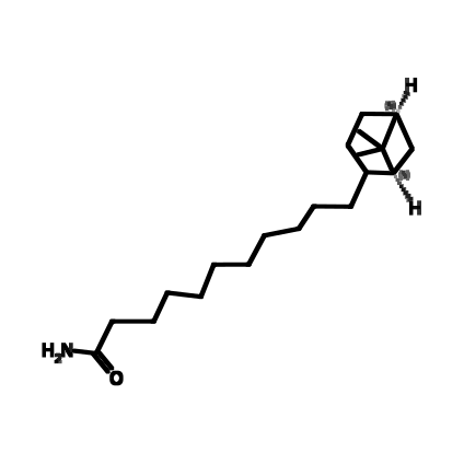 CC1(C)[C@H]2CCC(CCCCCCCCCCC(N)=O)[C@@H]1C2